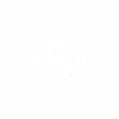 CCS(=O)(=O)Cc1cncc2ccccc12